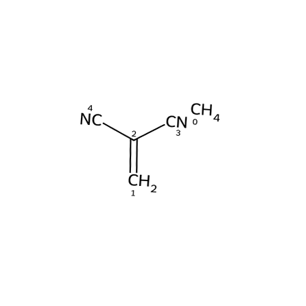 C.C=C(C#N)C#N